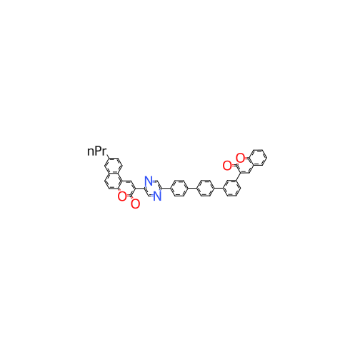 CCCc1ccc2c(ccc3oc(=O)c(-c4cnc(-c5ccc(-c6ccc(-c7cccc(-c8cc9ccccc9oc8=O)c7)cc6)cc5)cn4)cc32)c1